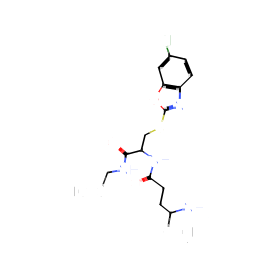 NC(CCC(=O)NC(CSc1nc2ccc(Cl)cc2o1)C(=O)NCC(=O)O)C(=O)O